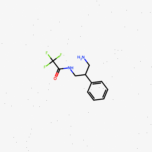 NCC(CNC(=O)C(F)(F)F)c1ccccc1